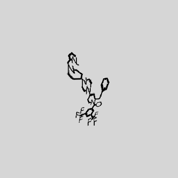 Cn1cccc1CN1CCC(N2CCN(C3CCN(C(=O)c4cc(C(F)(F)F)cc(C(F)(F)F)c4)C(Cc4ccccc4)C3)CC2)CC1